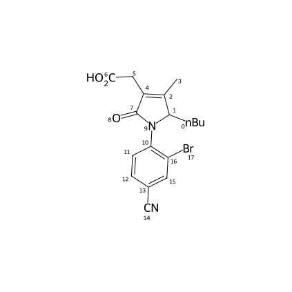 CCCCC1C(C)=C(CC(=O)O)C(=O)N1c1ccc(C#N)cc1Br